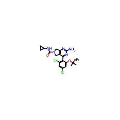 CCCC(C)(C)Oc1cc(Cl)cc(Cl)c1-c1nc(N)nc2c1CN(C(=O)NC1CC1)C2